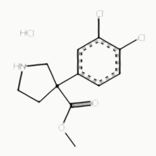 COC(=O)C1(c2ccc(Cl)c(Cl)c2)CCNC1.Cl